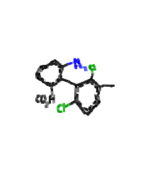 Cc1ccc(Cl)c(-c2c(N)cccc2C(=O)O)c1Cl